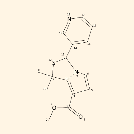 COC(=O)c1ccn2c1C(C)(C)SC2c1cccnc1